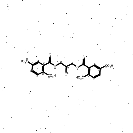 O=C(O)c1ccc(C(=O)O)c(C(=O)OCC(O)COC(=O)c2cc(C(=O)O)ccc2C(=O)O)c1